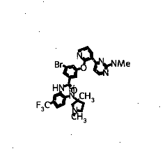 CNc1nccc(-c2cccnc2Oc2cc(Br)cc(C(=O)Nc3cc(C(F)(F)F)ccc3N[C@@]3(C)CCN(C)C3)c2)n1